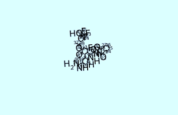 CCOc1cc(C(Nc2ccc(C(=N)N)cc2)C(=O)NN2C(=O)c3ccccc3C2=O)c(F)cc1OC(C)C.O=C(O)C(F)(F)F